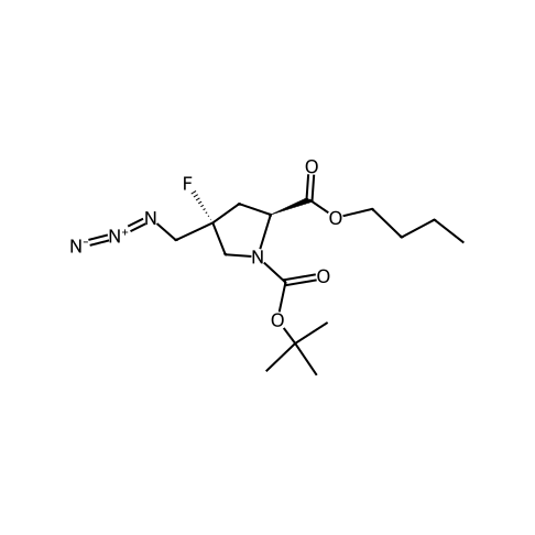 CCCCOC(=O)[C@@H]1C[C@](F)(CN=[N+]=[N-])CN1C(=O)OC(C)(C)C